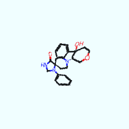 O=C1NCN(c2ccccc2)C12CCN([C@H]1COCC[C@@]1(O)c1ccccc1)CC2